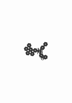 c1ccc(-c2ccc(-c3nc(-c4ccc(-c5cc(-c6ccccc6)c(-c6ccccc6)c(-c6ccccc6)c5-c5ccccc5)cc4)nc(-c4ccc5oc6ccccc6c5c4)n3)cc2)cc1